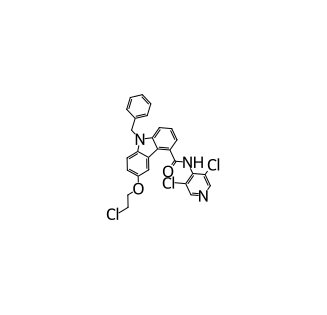 O=C(Nc1c(Cl)cncc1Cl)c1cccc2c1c1cc(OCCCl)ccc1n2Cc1ccccc1